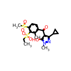 CCS(=O)(=O)c1c(S(C)(=O)=O)ccc(C(=O)c2c(C3CC3)nn(C)c2O)c1C